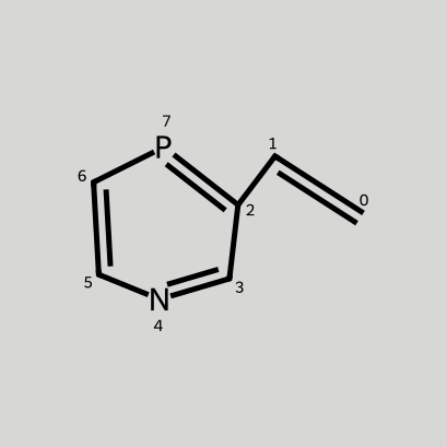 C=Cc1cnccp1